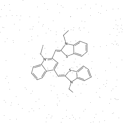 CCN1C(=Cc2cc(/C=C3\Sc4ccccc4N3CC)[n+](CC)c3ccccc23)Sc2ccccc21